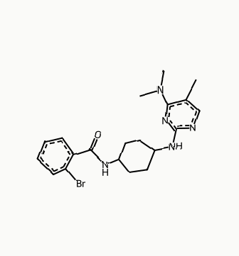 Cc1cnc(NC2CCC(NC(=O)c3ccccc3Br)CC2)nc1N(C)C